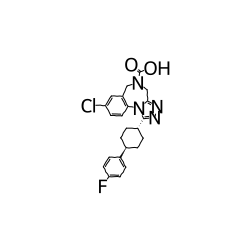 O=C(O)N1Cc2cc(Cl)ccc2-n2c(nnc2[C@H]2CC[C@H](c3ccc(F)cc3)CC2)C1